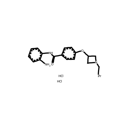 CC(C)CN1CC(Oc2ccc(C(=O)Nc3ccccc3N)cc2)C1.Cl.Cl